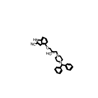 N#Cc1cc2c(OC[C@H](O)CN3CCN(C(c4ccccc4)c4ccccc4)CC3)cccc2[nH]1